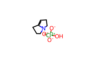 C1=C2CCCN2CC1.[O-][Cl+3]([O-])([O-])O